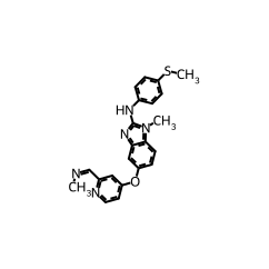 C/N=C\c1cc(Oc2ccc3c(c2)nc(Nc2ccc(SC)cc2)n3C)ccn1